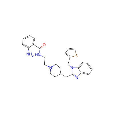 Nc1ccccc1C(=O)NCCN1CCC(Cc2nc3ccccc3n2Cc2cccs2)CC1